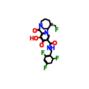 O=C(NCC1=C(F)C=C(F)CC1F)c1cn2c(c(O)c1=O)C(=O)N1CCC[C@H](CF)C2C1